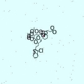 COC(=O)CCC/C=C\CN1C(=O)CCC[C@@H]1/C=C/C(CCc1sc2ccccc2c1Cl)O[C@@H]1OC(C(=O)OC)[C@@H](OC(C)=O)C(OC(C)=O)[C@@H]1OC(C)=O